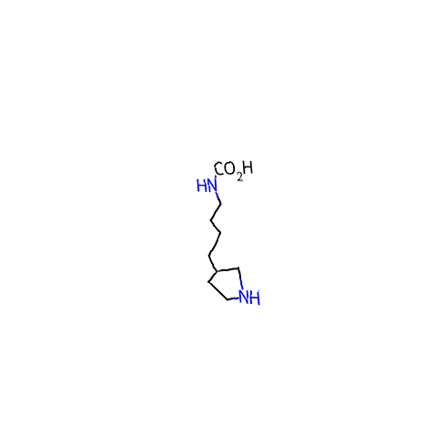 O=C(O)NCCCCC1CCNC1